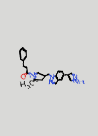 C[C@@H]1CC(Cn2ncc3cc(-c4cn[nH]c4)ccc32)CN1C(=O)CCc1ccccc1